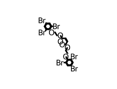 O=C(/C=C\C(=O)OCCOc1c(Br)cc(Br)cc1Br)OCCOc1c(Br)cc(Br)cc1Br